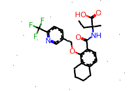 CCC(C)(NC(=O)c1ccc2c(c1OCc1ccc(C(F)(F)F)nc1)CCCC2)C(=O)O